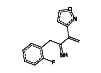 C=C(C(=N)Cc1ccccc1F)c1ccon1